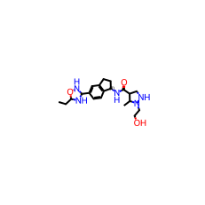 CCC1NC(c2ccc3c(c2)CC[C@H]3NC(=O)C2CNN(CCO)C2C)NO1